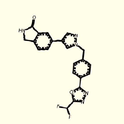 O=C1NCc2ccc(-c3cnn(Cc4ccc(-c5nnc(C(F)F)o5)cc4)c3)cc21